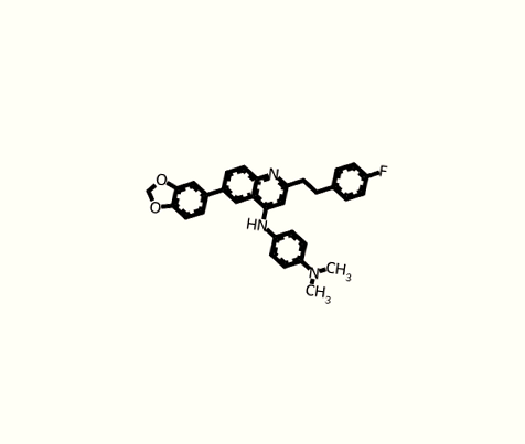 CN(C)c1ccc(Nc2cc(CCc3ccc(F)cc3)nc3ccc(-c4ccc5c(c4)OCO5)cc23)cc1